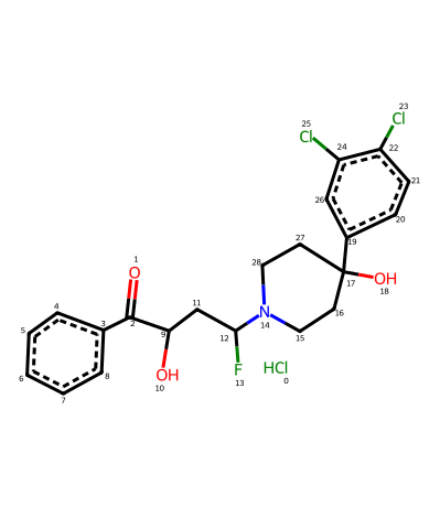 Cl.O=C(c1ccccc1)C(O)CC(F)N1CCC(O)(c2ccc(Cl)c(Cl)c2)CC1